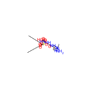 CCCCCCCCCCCCCCCC(=O)OC[C@H](CSCC(NC(=O)CCCC(=O)NCc1ccc(Cn2c(CCCC)nc3c(N)nc4ccccc4c32)cc1)C(=O)N[C@@H](CO)C(=O)OC)OC(=O)CCCCCCCCCCCCCCC